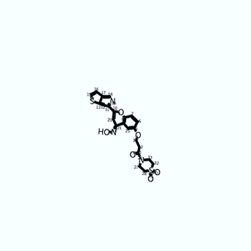 O=C(CCOc1ccc2oc(-c3cc4sccc4cn3)cc(=NO)c2c1)N1CCS(=O)(=O)CC1